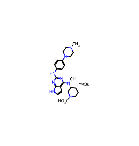 CN1CCN(c2ccc(Nc3nc(N(C)[C@H]4CN(C(=O)O)CC[C@H]4CC(C)(C)C)c4cc[nH]c4n3)cc2)CC1